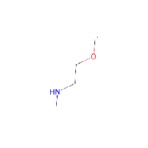 [CH2]OCCNC